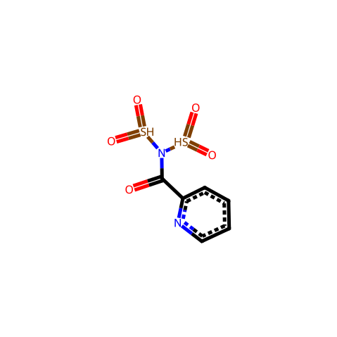 O=C(c1ccccn1)N([SH](=O)=O)[SH](=O)=O